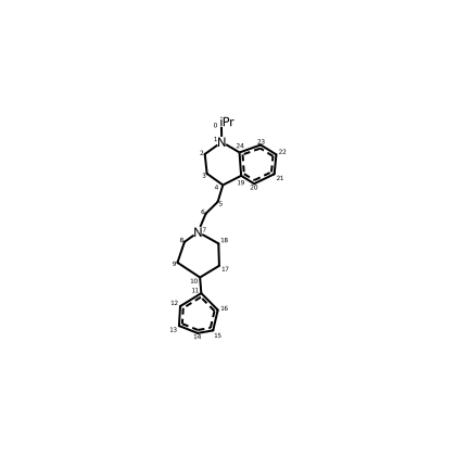 CC(C)N1CCC(CCN2CCC(c3ccccc3)CC2)c2ccccc21